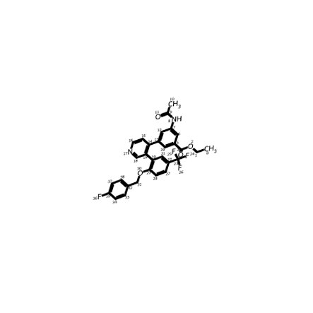 CCOC(=O)c1cc(NC(C)=O)cc(-c2ccncc2-c2cc(C(F)(F)F)ccc2OCc2ccc(F)cc2)c1